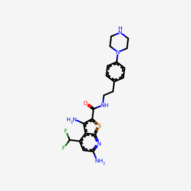 Nc1cc(C(F)F)c2c(N)c(C(=O)NCCc3ccc(N4CCNCC4)cc3)sc2n1